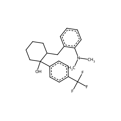 CN(C)c1ccccc1CC1CCCCC1(O)c1ccc(C(F)(F)F)cc1